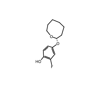 Oc1ccc(O[C@H]2CCCCCCO2)cc1F